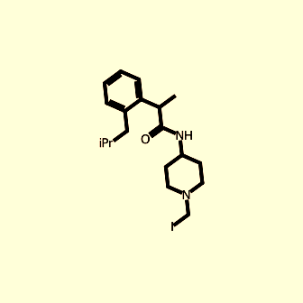 CC(C)Cc1ccccc1C(C)C(=O)NC1CCN(CI)CC1